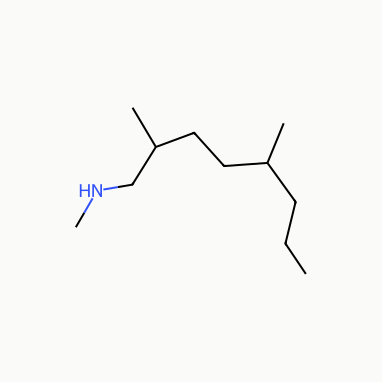 CCCC(C)CCC(C)CNC